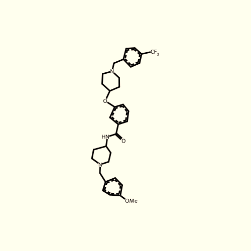 COc1ccc(CN2CCC(NC(=O)c3cccc(OC4CCN(Cc5ccc(C(F)(F)F)cc5)CC4)c3)CC2)cc1